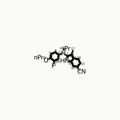 CCCOc1ccc(N(c2[nH]c3cc(C#N)ccc3c2C)C(C)C)cc1F